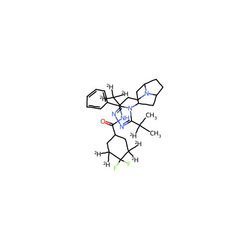 [2H]C([2H])([2H])c1nnc(C([2H])(C)C)n1C1CC2CCC(C1)N2CCC(NC(=O)C1CC([2H])([2H])C(F)(F)C([2H])([2H])C1)c1ccccc1